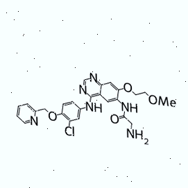 COCCOc1cc2ncnc(Nc3ccc(OCc4ccccn4)c(Cl)c3)c2cc1NC(=O)CN